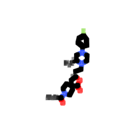 CNC(=O)N1CCC2(CC1)C[C@H](CCN1CCN(c3ccc(F)cc3)C[C@@H]1C)OC2=O